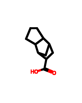 O=C(O)C1CC2CC1C1CCCC21